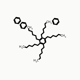 CCCCCCc1cc(CCCCCC)c(CCCCCC)c(CCCCCC)c1CCCCCC.c1ccccc1.c1ccccc1.c1ccccc1